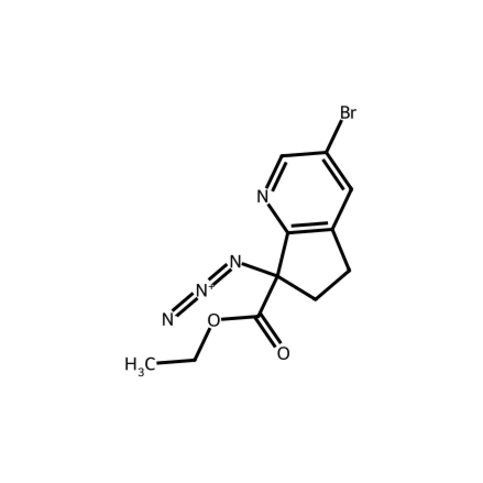 CCOC(=O)C1(N=[N+]=[N-])CCc2cc(Br)cnc21